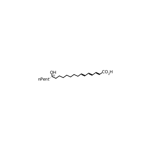 CCCCC[C@H](O)CCCCCCCC=CC=CC=CC(=O)O